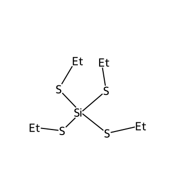 CCS[Si](SCC)(SCC)SCC